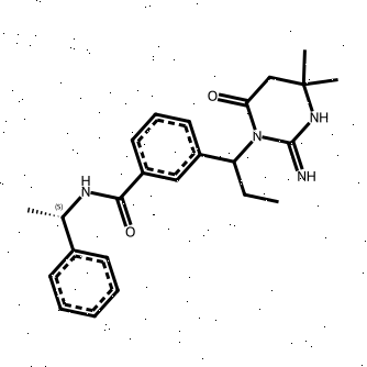 CCC(c1cccc(C(=O)N[C@@H](C)c2ccccc2)c1)N1C(=N)NC(C)(C)CC1=O